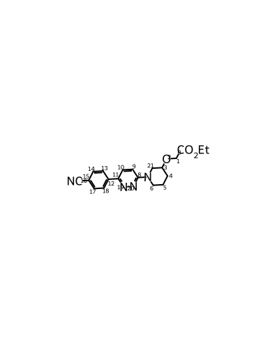 CCOC(=O)COC1CCCN(c2ccc(-c3ccc(C#N)cc3)nn2)C1